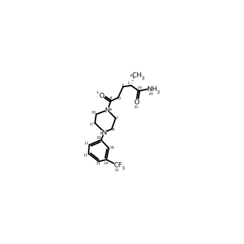 C[C@@H](C[CH]C(=O)N1CCN(c2cccc(C(F)(F)F)c2)CC1)C(N)=O